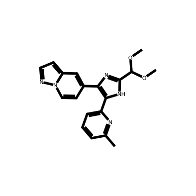 COC(OC)c1nc(-c2ccn3nccc3c2)c(-c2cccc(C)n2)[nH]1